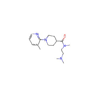 Cc1cccnc1N1CCC(C(=O)N(C)CCN(C)C)CC1